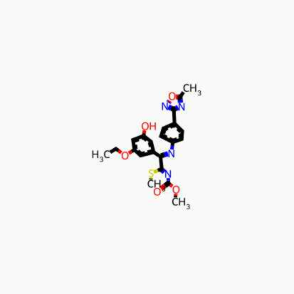 CCOc1cc(O)cc(C(=N\c2ccc(-c3noc(C)n3)cc2)/C(=N/C(=O)OC)SC)c1